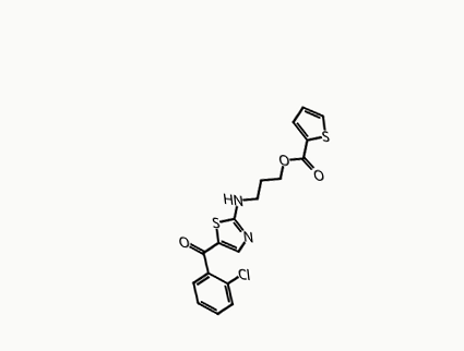 O=C(OCCCNc1ncc(C(=O)c2ccccc2Cl)s1)c1cccs1